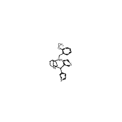 COc1ccccc1CNC1C2CCN(CC2)C1C(c1ccsc1)c1ccsc1